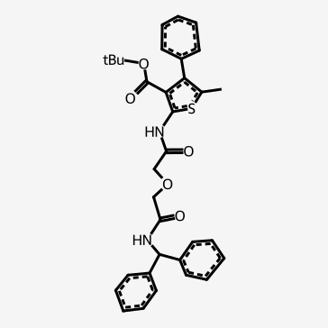 Cc1sc(NC(=O)COCC(=O)NC(c2ccccc2)c2ccccc2)c(C(=O)OC(C)(C)C)c1-c1ccccc1